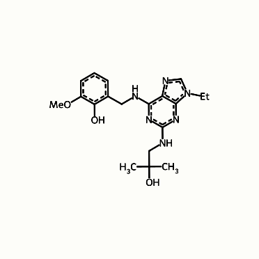 CCn1cnc2c(NCc3cccc(OC)c3O)nc(NCC(C)(C)O)nc21